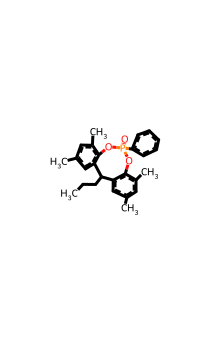 CCCC1c2cc(C)cc(C)c2OP(=O)(c2ccccc2)Oc2c(C)cc(C)cc21